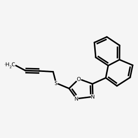 [CH2]C#CCSc1nnc(-c2cccc3ccccc23)o1